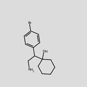 NCC(c1ccc(Br)cc1)C1(O)CCCCC1